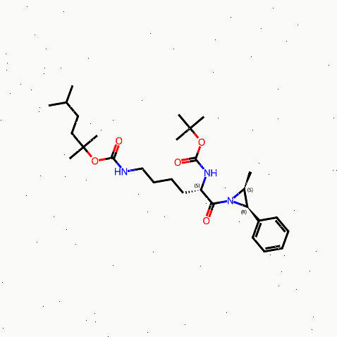 CC(C)CCC(C)(C)OC(=O)NCCCC[C@H](NC(=O)OC(C)(C)C)C(=O)N1[C@H](c2ccccc2)[C@@H]1C